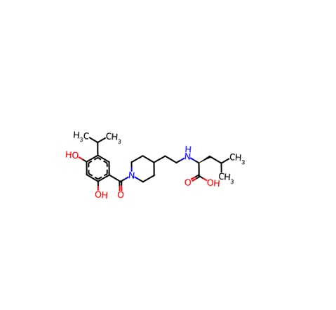 CC(C)C[C@H](NCCC1CCN(C(=O)c2cc(C(C)C)c(O)cc2O)CC1)C(=O)O